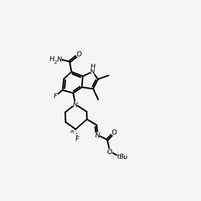 Cc1[nH]c2c(C(N)=O)cc(F)c(N3CC[C@@H](F)C(C=NC(=O)OC(C)(C)C)C3)c2c1C